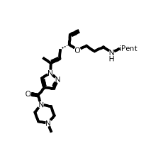 C=C[C@@H](C/C=C(\C)n1cc(C(=O)N2CCN(C)CC2)cn1)OCCCNC(C)CCC